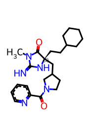 CN1C(=N)N[C@@](CCC2CCCCC2)(CC2CCN(C(=O)c3ccccn3)C2)C1=O